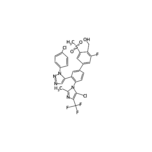 Cc1nc(C(F)(F)F)c(Cl)n1-c1ccc(-c2cc(F)c(CO)c(S(C)(=O)=O)c2)cc1-c1cnnn1-c1ccc(Cl)cc1